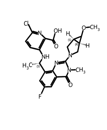 COC1[C@H]2CN(c3nc4c([C@H](C)Nc5ccc(Cl)nc5C(=O)O)cc(F)cc4c(=O)n3C)C[C@@H]12